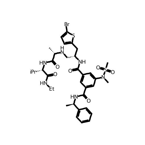 CCNC(=O)[C@@H](NC(=O)[C@H](C)NC[C@H](Cc1ccc(Br)s1)NC(=O)c1cc(C(=O)N[C@H](C)c2ccccc2)cc(N(C)S(C)(=O)=O)c1)C(C)C